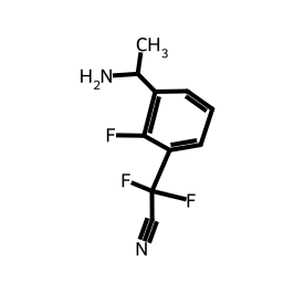 CC(N)c1cccc(C(F)(F)C#N)c1F